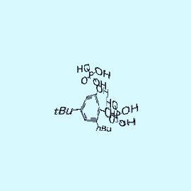 CCCCc1cc(C(C)(C)C)cc(O)c1C.O=P(O)(O)O.O=P(O)(O)O